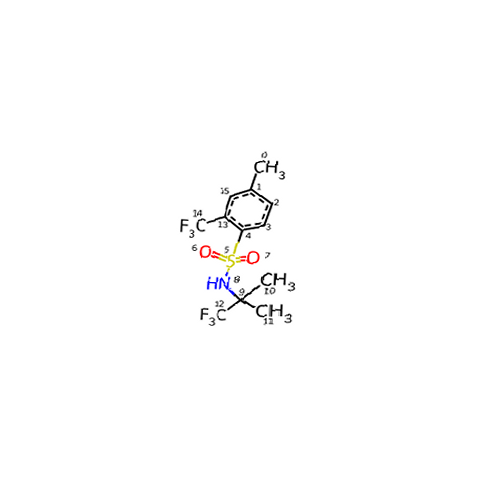 Cc1ccc(S(=O)(=O)NC(C)(C)C(F)(F)F)c(C(F)(F)F)c1